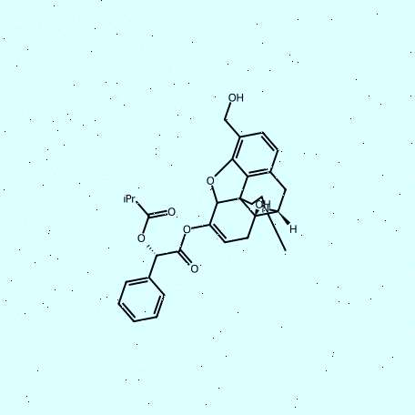 CC(C)C(=O)O[C@H](C(=O)OC1=CC[C@@]2(O)[C@H]3Cc4ccc(CO)c5c4C2(CCN3C)C1O5)c1ccccc1